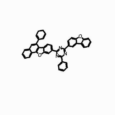 C1=CC(c2cc3ccccc3c3oc4cc(-c5nc(-c6ccccc6)nc(-c6ccc7oc8ccccc8c7c6)n5)ccc4c23)=CCC1